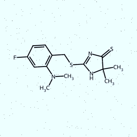 CN(C)c1cc(F)ccc1CSC1=NC(=S)C(C)(C)N1